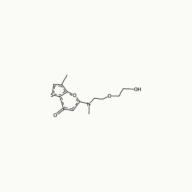 Cc1csc2c(=O)cc(N(C)CCOCCO)oc12